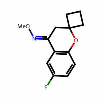 CON=C1CC2(CCC2)Oc2ccc(F)cc21